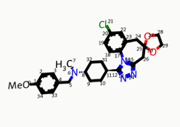 COc1ccc(CN(C)[C@H]2CC[C@H](c3nnc4n3-c3ccc(Cl)cc3CC3(C4)OCCO3)CC2)cc1